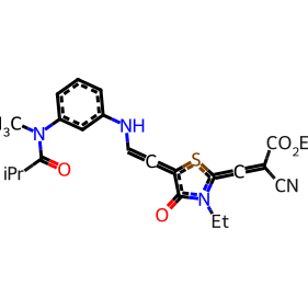 CCOC(=O)C(=C=c1sc(=C=CNc2cccc(N(C)C(=O)C(C)C)c2)c(=O)n1CC)C#N